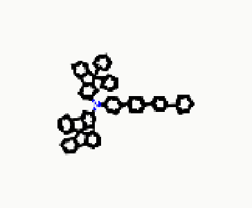 c1ccc(-c2ccc(-c3ccc(-c4ccc(N(c5ccc6c(c5)-c5ccccc5C65c6ccccc6-c6ccccc65)c5ccc6c(c5)C(c5ccccc5)(c5ccccc5)c5ccccc5-6)cc4)cc3)cc2)cc1